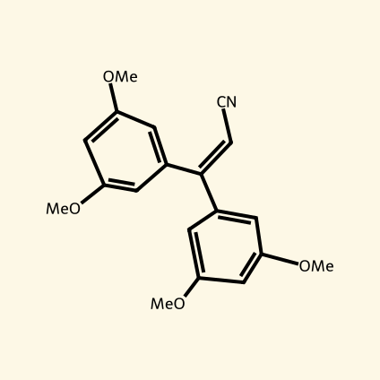 COc1cc(OC)cc(C(=CC#N)c2cc(OC)cc(OC)c2)c1